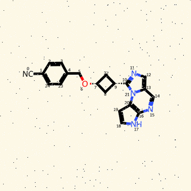 N#Cc1ccc(CO[C@H]2C[C@@H](c3ncc4cnc5[nH]ccc5n43)C2)cc1